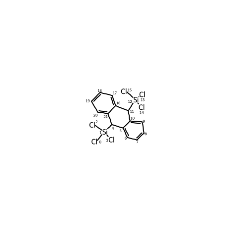 Cl[Si](Cl)(Cl)C1c2ccccc2C([Si](Cl)(Cl)Cl)c2ccccc21